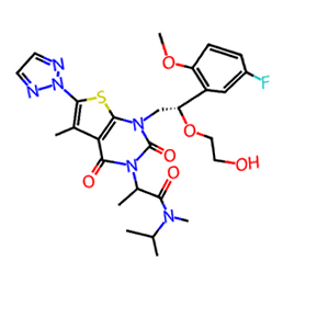 COc1ccc(F)cc1[C@@H](Cn1c(=O)n(C(C)C(=O)N(C)C(C)C)c(=O)c2c(C)c(-n3nccn3)sc21)OCCO